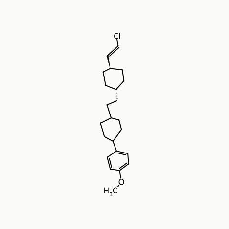 COc1ccc(C2CCC(CC[C@H]3CC[C@H](/C=C/Cl)CC3)CC2)cc1